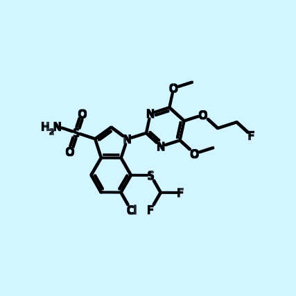 COc1nc(-n2cc(S(N)(=O)=O)c3ccc(Cl)c(SC(F)F)c32)nc(OC)c1OCCF